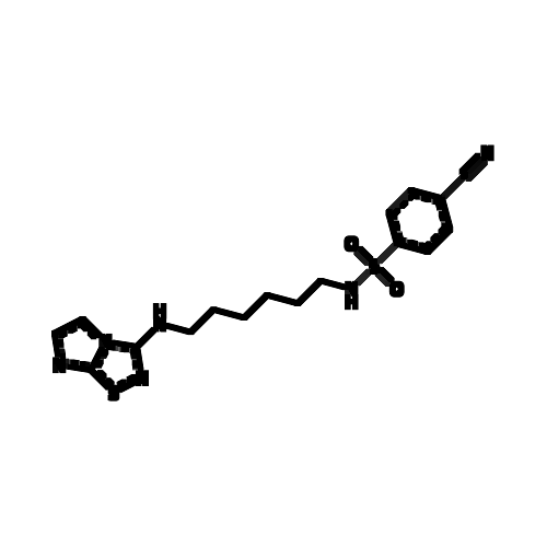 N#Cc1ccc(S(=O)(=O)NCCCCCCNc2nsc3nccn23)cc1